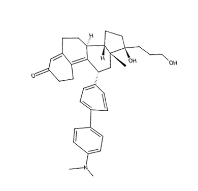 CN(C)c1ccc(-c2ccc([C@H]3C[C@]4(C)[C@@H](CC[C@]4(O)CCCO)[C@@H]4CCC5=CC(=O)CCC5=C43)cc2)cc1